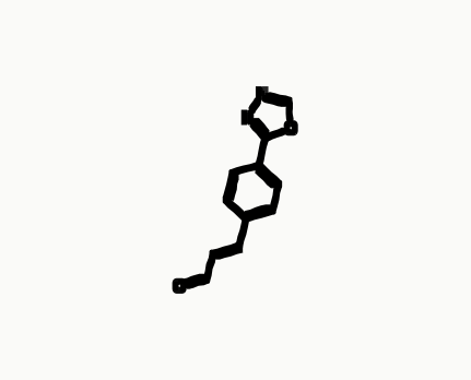 O=C/C=C/c1ccc(-c2nnco2)cc1